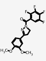 COc1ccc(C2=NN(C(=O)c3cc(F)c(F)c(F)c3F)CC2)cc1OC